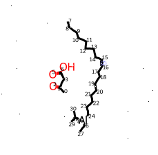 CC(=O)CC(=O)O.CCCCCCCC/C=C\CCCCCCC[CH2][Al]([CH2]C)[CH](C)C